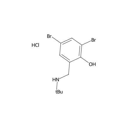 CC(C)(C)NCc1cc(Br)cc(Br)c1O.Cl